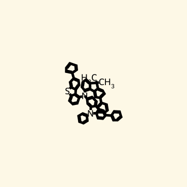 CC1(C)c2ccc(-c3ccccc3)cc2-c2c(N(c3ccc4c5cc(-c6ccccc6)ccc5n(-c5ccccc5)c4c3)c3cccc4sc5cc(-c6ccccc6)ccc5c34)cccc21